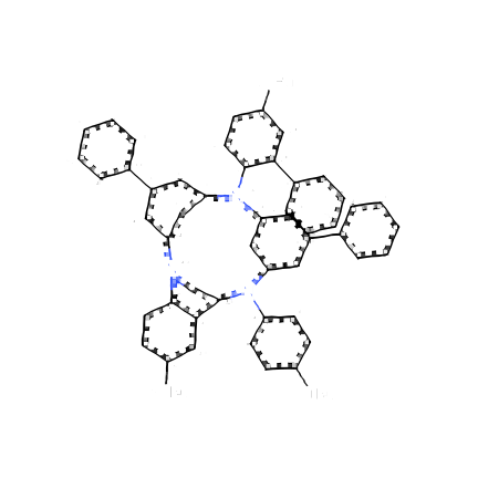 CC(C)(C)c1ccc(-n2c3cc(-c4ccccc4)cc(c3)n(-c3ccc(C(C)(C)C)cc3-c3ccccc3)c3cc(-c4ccccc4)cc(c3)n3cc2c2cc(C(C)(C)C)ccc23)cc1